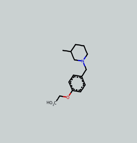 CC1CCCN(Cc2ccc(OCC(=O)O)cc2)C1